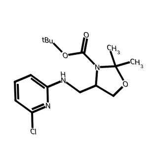 CC(C)(C)OC(=O)N1C(CNc2cccc(Cl)n2)COC1(C)C